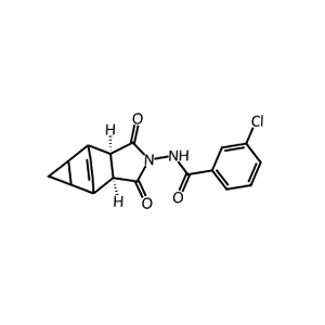 O=C(NN1C(=O)[C@@H]2C3C=CC(C4CC43)[C@@H]2C1=O)c1cccc(Cl)c1